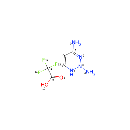 NC1=NN(N)NC=C1.O=C(O)C(F)(F)F